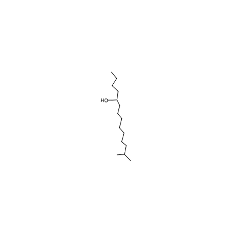 CCCCC(O)CCCCCCCC(C)C